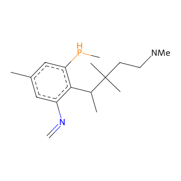 C=Nc1cc(C)cc(PC)c1C(C)C(C)(C)CCNC